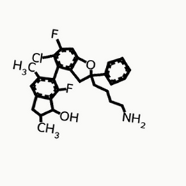 Cc1cc2c(c(F)c1-c1c(Cl)c(F)cc3c1CC(CCCCN)(c1ccccc1)O3)C(O)C(C)C2